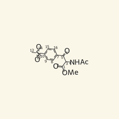 COC(=O)C(NC(C)=O)C(=O)c1ccc(S(C)(=O)=O)cc1